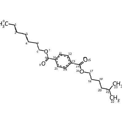 CCCCCCCOC(=O)c1ccc(C(=O)OCCCCC(C)C)cc1